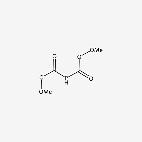 COOC(=O)PC(=O)OOC